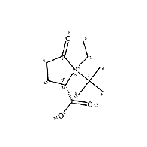 CC[N+]1(C(C)(C)C)C(=O)CC[C@H]1C(=O)[O-]